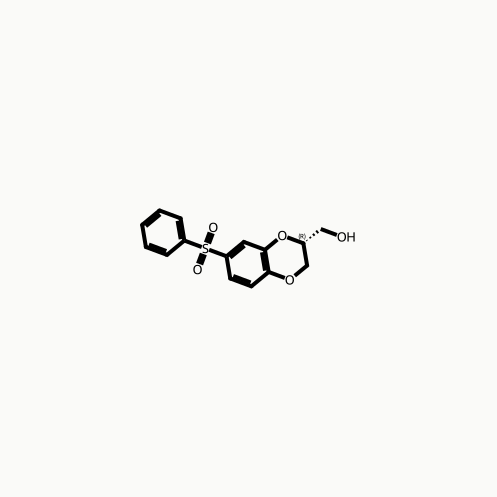 O=S(=O)(c1ccccc1)c1ccc2c(c1)O[C@H](CO)CO2